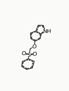 O=S(=O)(COc1ccc2cc[nH]c2c1)c1ccccc1